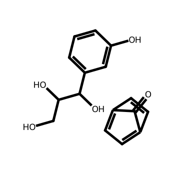 O=C1C2=CC=C1C=C2.OCC(O)C(O)c1cccc(O)c1